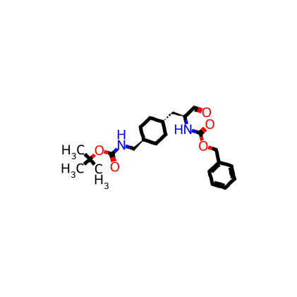 CC(C)(C)OC(=O)NC[C@H]1CC[C@H](C[C@@H](C=O)NC(=O)OCc2ccccc2)CC1